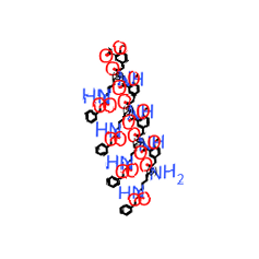 COc1ccc(CC(=O)[C@H](CCCCNC(=O)OCc2ccccc2)NC(=O)c2cc(CC(=O)[C@H](CCCCNC(=O)OCc3ccccc3)NC(=O)c3cc(CC(=O)[C@H](CCCCNC(=O)OCc4ccccc4)NC(=O)c4cc(CC(=O)[C@@H](N)CCCCNC(=O)OCc5ccccc5)ccc4OC)ccc3OC)ccc2OC)cc1C(C)=O